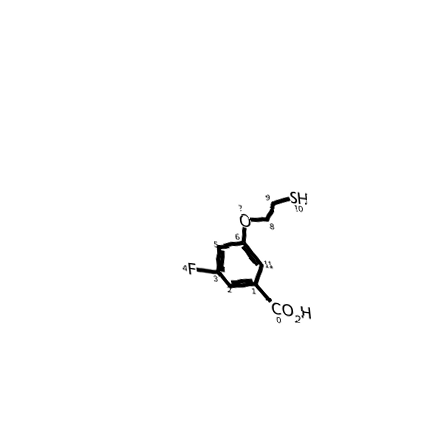 O=C(O)c1cc(F)cc(OCCS)c1